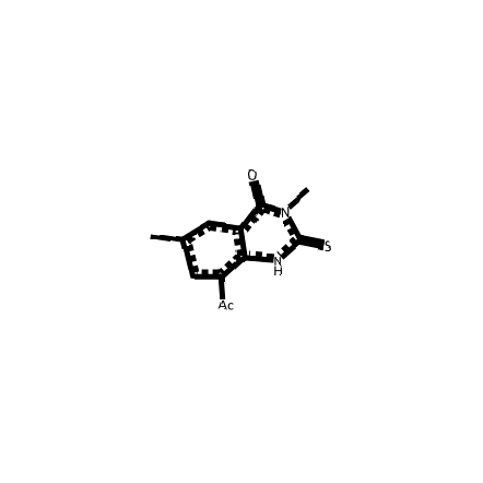 CC(=O)c1cc(C)cc2c(=O)n(C)c(=S)[nH]c12